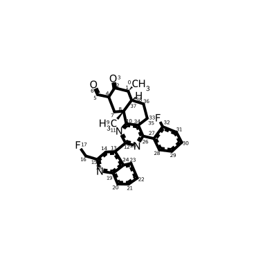 C[C@H]1C(=O)C(C=O)C[C@@]2(C)c3nc(-c4cc(CF)nc5ccccc45)nc(-c4ccccc4F)c3CC[C@H]12